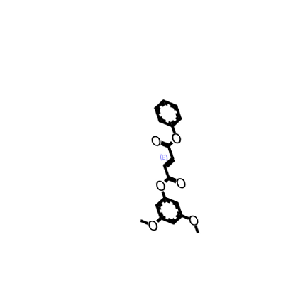 COc1cc(OC)cc(OC(=O)/C=C/C(=O)Oc2ccccc2)c1